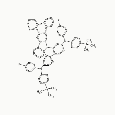 CC(C)(C)c1ccc(N(c2ccc(F)cc2)c2ccc(-c3ccc(N(c4ccc(F)cc4)c4ccc(C(C)(C)C)cc4)cc3C3c4ccccc4-c4cc5c6ccccc6c6ccccc6c5cc43)cc2)cc1